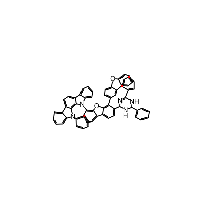 c1ccc(C2=NC(c3ccc4c(oc5c(-n6c7ccccc7c7ccc8c9ccccc9n(-c9ccccc9)c8c76)cccc54)c3-c3ccc4oc5ccccc5c4c3)NC(c3ccccc3)N2)cc1